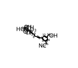 CC(C)(CCCCC#Cc1cc(CO)cc(CC#N)c1)[Si](C)(C)O